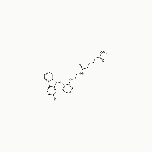 COC(=O)CCCCC(=O)NCCOc1ncccc1C=C1c2ccccc2-c2ccc(F)cc21